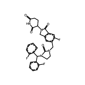 O=C1CCC(N2Cc3cc(CN4CCN(C(c5ccccc5F)c5ccccc5F)C4=O)c(F)cc3C2=O)C(=O)N1